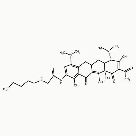 CCCCCNCC(=O)Nc1cc(N(C)C)c2c(c1O)C(=O)C1=C(O)[C@]3(O)C(=O)C(C(N)=O)=C(O)[C@@H](N(C)C)C3CC1C2